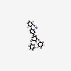 Cc1cc(-c2ccc3c(c2)ncc2ccccc23)cc(C)c1B(c1ccccc1)c1ccccc1